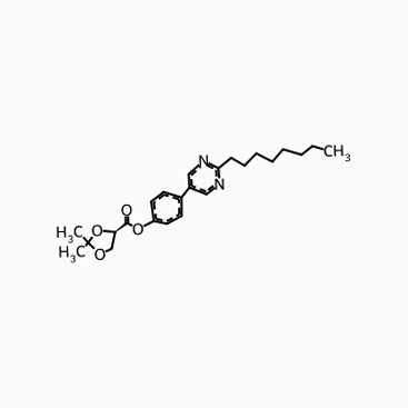 CCCCCCCCc1ncc(-c2ccc(OC(=O)[C@H]3COC(C)(C)O3)cc2)cn1